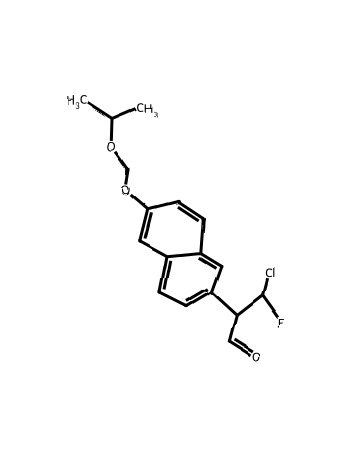 CC(C)OCOc1ccc2cc(C(C=O)C(F)Cl)ccc2c1